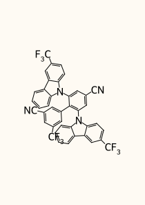 N#Cc1cc(-c2c(-n3c4ccccc4c4cc(C(F)(F)F)ccc43)cc(C#N)cc2-n2c3ccccc3c3cc(C(F)(F)F)ccc32)cc(C(F)(F)F)c1